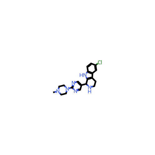 CN1CCN(c2ncc(C3NCCc4c3[nH]c3ccc(Cl)cc43)cn2)CC1